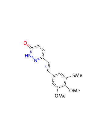 COc1cc(/C=C/c2ccc(=O)[nH]n2)cc(SC)c1OC